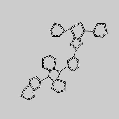 c1cc(-c2c3ccccc3c(-c3ccc4ccccc4c3)c3ccccc23)cc(-n2nc3c(-c4ccncc4)ccc(-c4ccncc4)c3n2)c1